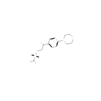 CC(CNS(=O)(=O)C(C)C)c1ccc(N2CCNCC2)cc1